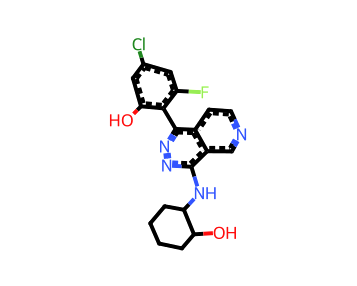 Oc1cc(Cl)cc(F)c1-c1nnc(NC2CCCCC2O)c2cnccc12